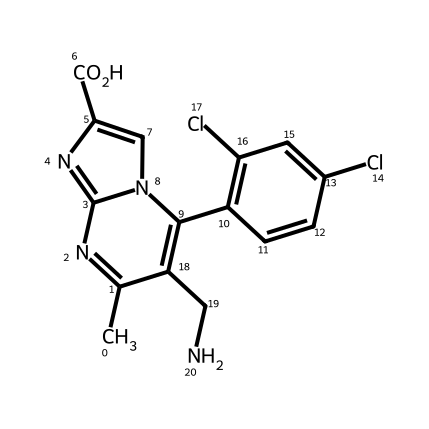 Cc1nc2nc(C(=O)O)cn2c(-c2ccc(Cl)cc2Cl)c1CN